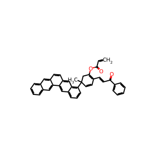 C=CC(=O)OC1=C(C=CC(=O)c2ccccc2)C=CC(C)(c2cccc3cc4c(ccc5cc6ccccc6cc54)cc23)C1